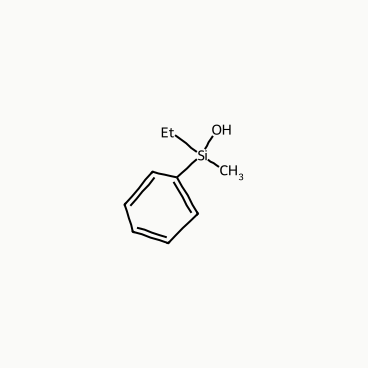 CC[Si](C)(O)c1ccccc1